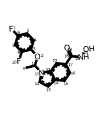 CC(Oc1ccc(F)cc1F)n1ccc2ccc(C(=O)NO)cc21